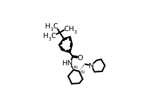 CC(C)(C)c1ccc(C(=O)N[C@@H]2CCCC[C@H]2CN2CCCCC2)cc1